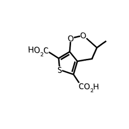 CC1Cc2c(C(=O)O)sc(C(=O)O)c2OO1